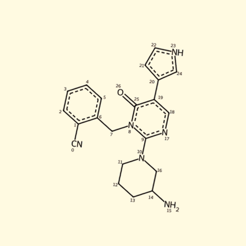 N#Cc1ccccc1Cn1c(N2CCCC(N)C2)ncc(-c2cc[nH]c2)c1=O